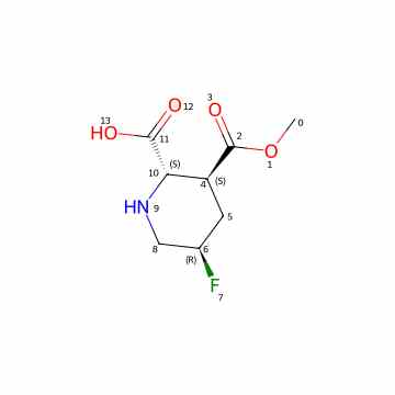 COC(=O)[C@H]1C[C@@H](F)CN[C@@H]1C(=O)O